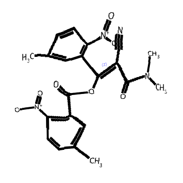 Cc1ccc([N+](=O)[O-])c(C(=O)O/C(=C(/C#N)C(=O)N(C)C)c2cc(C)ccc2[N+](=O)[O-])c1